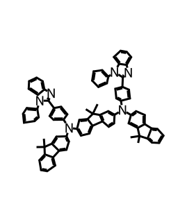 CC1(C)c2ccccc2-c2ccc(N(c3ccc(-c4nc5ccccc5n4-c4ccccc4)cc3)c3ccc4c(c3)C(C)(C)c3cc(N(c5ccc(-c6nc7ccccc7n6-c6ccccc6)cc5)c5ccc6c(c5)C(C)(C)c5ccccc5-6)ccc3-4)cc21